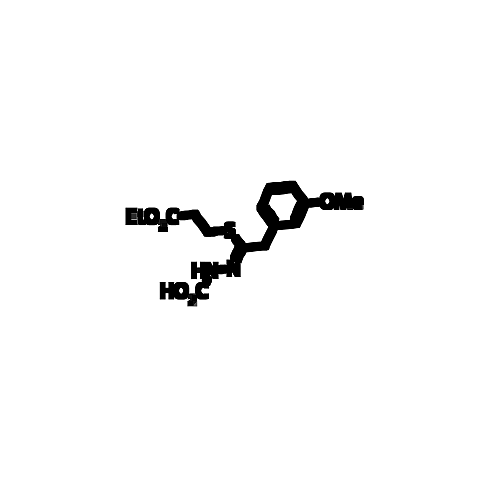 CCOC(=O)CCS/C(Cc1cccc(OC)c1)=N\NC(=O)O